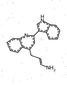 NC=CCc1cc(-c2c[nH]c3ccccc23)nc2ccccc12